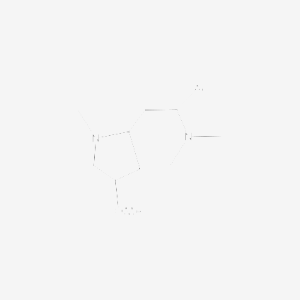 COC1CC(CC(C(C)=O)N(C)C)N(C)C1